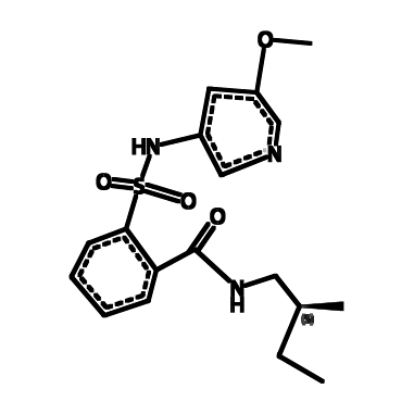 CC[C@H](C)CNC(=O)c1ccccc1S(=O)(=O)Nc1cncc(OC)c1